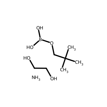 CC(C)(C)COB(O)O.N.OCCO